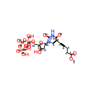 COC(=O)CCC#Cc1cn([C@H]2C[C@@H](O)[C@@H](COP(=O)(O)OP(=O)(O)OP(=O)(O)O)O2)c(=O)[nH]c1=O